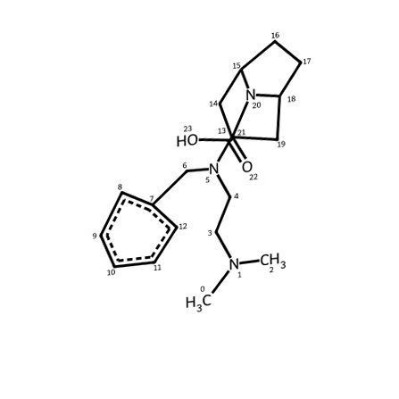 CN(C)CCN(Cc1ccccc1)C1CC2CCC(C1)N2C(=O)O